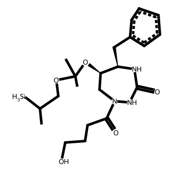 CC([SiH3])COC(C)(C)O[C@@H]1CN(C(=O)CCCO)NC(=O)N[C@@H]1Cc1ccccc1